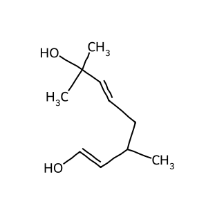 CC(C=CO)CC=CC(C)(C)O